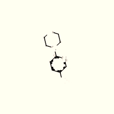 CC(C)(C)c1ccc(N2CCOCC2)nc1